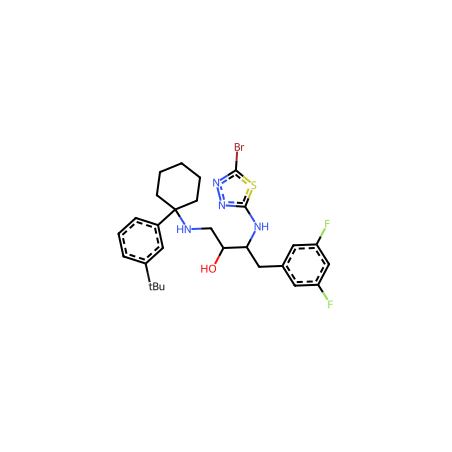 CC(C)(C)c1cccc(C2(NCC(O)C(Cc3cc(F)cc(F)c3)Nc3nnc(Br)s3)CCCCC2)c1